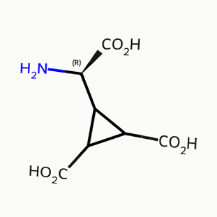 N[C@@H](C(=O)O)C1C(C(=O)O)C1C(=O)O